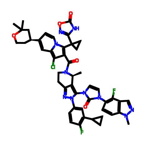 C[C@H]1c2c(nn(-c3ccc(F)c(C4CC4)c3)c2-n2ccn(-c3ccc4c(cnn4C)c3F)c2=O)CCN1C(=O)c1c(Cl)c2cc([C@H]3CCOC(C)(C)C3)ccn2c1C1(c2noc(=O)[nH]2)CC1